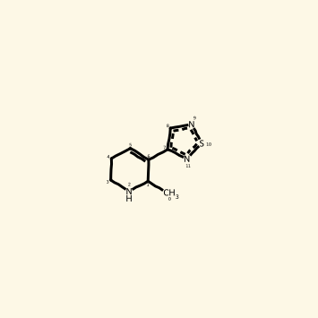 CC1NCCC=C1c1cnsn1